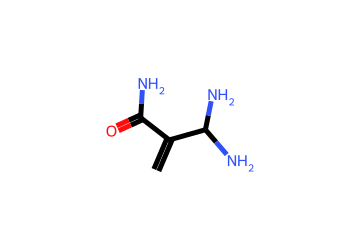 C=C(C(N)=O)C(N)N